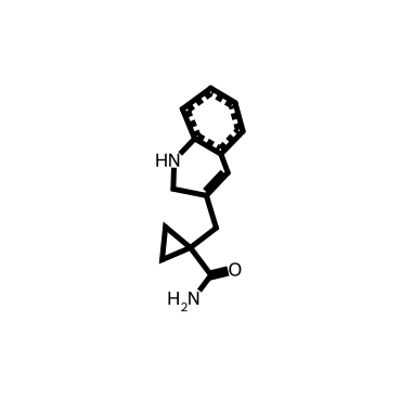 NC(=O)C1(CC2=Cc3ccccc3NC2)CC1